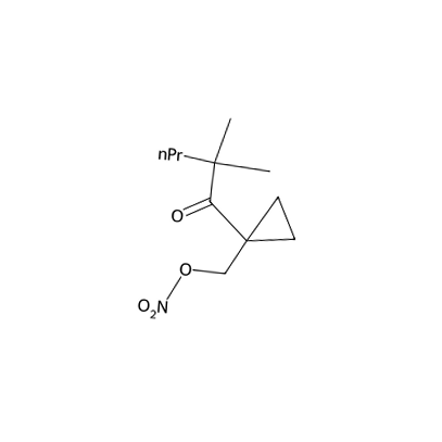 CCCC(C)(C)C(=O)C1(CO[N+](=O)[O-])CC1